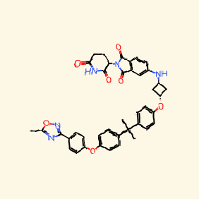 Cc1nc(-c2ccc(Oc3ccc(C(C)(C)c4ccc(O[C@H]5C[C@H](Nc6ccc7c(c6)C(=O)N(C6CCC(=O)NC6=O)C7=O)C5)cc4)cc3)cc2)no1